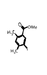 COC(=O)c1cc(I)c(C)cc1C